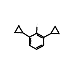 Ic1c(C2CC2)cccc1C1CC1